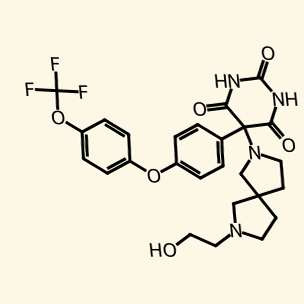 O=C1NC(=O)C(c2ccc(Oc3ccc(OC(F)(F)F)cc3)cc2)(N2CCC3(CCN(CCO)C3)C2)C(=O)N1